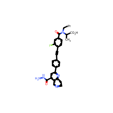 CC(C)CN(C(=O)c1ccc(C#Cc2ccc(-c3cc(C(=O)NN)c4cnccc4n3)cc2)c(F)c1)C(C)C(=O)O